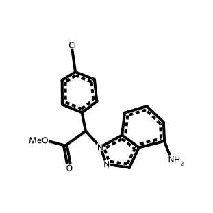 COC(=O)C(c1ccc(Cl)cc1)n1ncc2c(N)cccc21